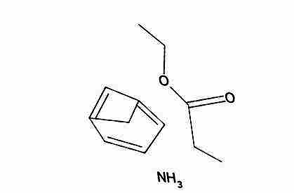 CCOC(=O)CC.N.c1cc2cc(c1)C2